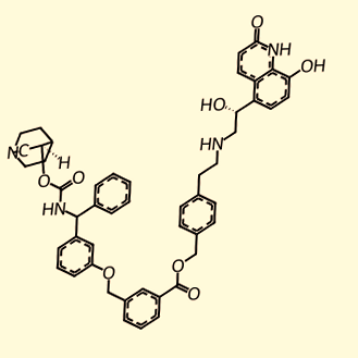 O=C(NC(c1ccccc1)c1cccc(OCc2cccc(C(=O)OCc3ccc(CCNC[C@H](O)c4ccc(O)c5[nH]c(=O)ccc45)cc3)c2)c1)O[C@H]1CN2CCC1CC2